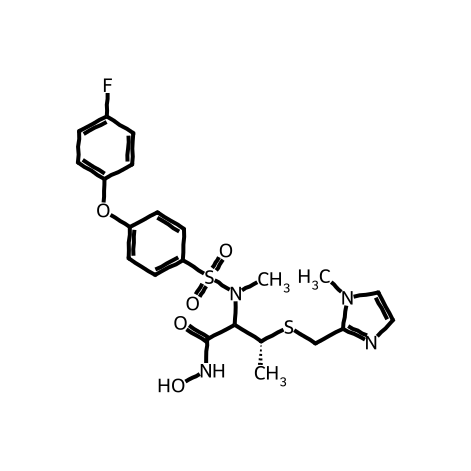 C[C@@H](SCc1nccn1C)C(C(=O)NO)N(C)S(=O)(=O)c1ccc(Oc2ccc(F)cc2)cc1